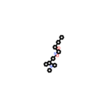 c1ccc(-c2ccc(-c3cccc4c3oc3ccc5oc(-c6ccc(-c7cc8ccccc8c8c7c7ccccc7n8-c7ccccc7)cc6)nc5c34)cc2)cc1